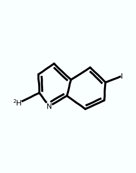 [2H]c1ccc2cc(I)ccc2n1